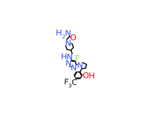 NC(=O)CN1CCC(CNc2ncnc(N3CCCC3c3ccc(C(F)(F)F)cc3O)c2F)CC1